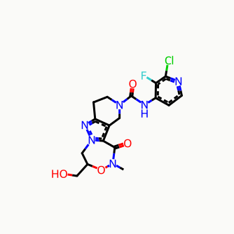 CN1OC(CO)Cn2nc3c(c2C1=O)CN(C(=O)Nc1ccnc(Cl)c1F)CC3